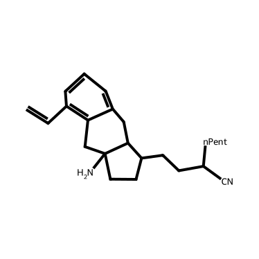 C=Cc1cccc2c1CC1(N)CCC(CCC(C#N)CCCCC)C1C2